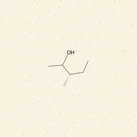 CC[C@H](C)C(C)O